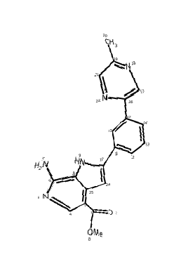 COC(=O)c1cnc(N)c2[nH]c(-c3cccc(-c4cnc(C)cn4)c3)cc12